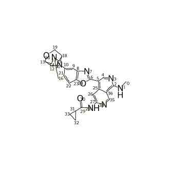 CNc1ncc(-c2nc3cc(N4CC5CN(C)CC4CO5)ccc3o2)c2cc(NC(=O)C3CC3)ncc12